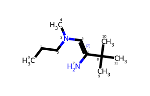 CCCN(C)/C=C(\N)C(C)(C)C